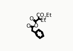 CCOC(=O)C(CC)C(=O)OC(=O)Cc1ccccc1